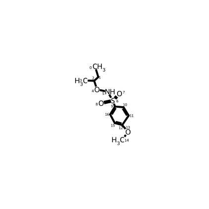 CCC(C)ONS(=O)(=O)c1ccc(OC)cc1